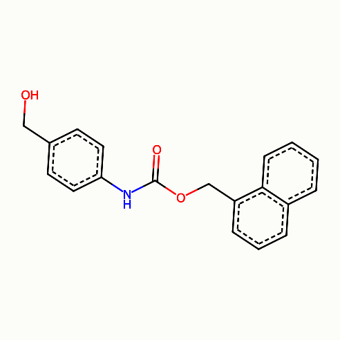 O=C(Nc1ccc(CO)cc1)OCc1cccc2ccccc12